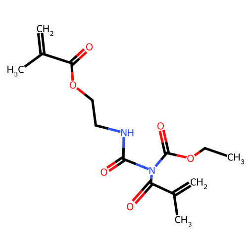 C=C(C)C(=O)OCCNC(=O)N(C(=O)OCC)C(=O)C(=C)C